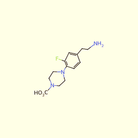 NCCc1ccc(N2CCN(C(=O)O)CC2)c(F)c1